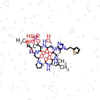 COCCOCCC(=O)N1CCC[C@H]1C(=O)N[C@@H](CC(C)C)C(=O)N[C@@H](Cc1cncn1CCc1cccs1)C(=O)N[C@@H](CO)C(=O)N[C@H](C(N)=O)[C@@H](C)OP(=O)(O)O